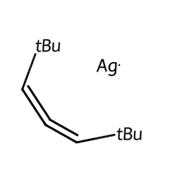 CC(C)(C)C=C=CC(C)(C)C.[Ag]